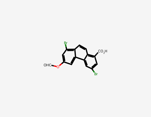 O=COc1cc(Br)c2ccc3c(C(=O)O)cc(Br)cc3c2c1